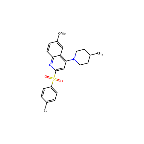 CCc1ccc(S(=O)(=O)c2cc(N3CCC(C)CC3)c3cc(OC)ccc3n2)cc1